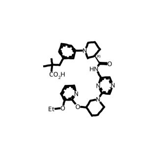 CCOc1cccnc1OC1CCCN(c2cncc(NC(=O)[C@@H]3CCCN(c4cccc(CC(C)(C)C(=O)O)c4)C3)n2)C1